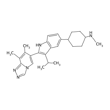 CNC1CCC(c2ccc3[nH]c(-c4cn5cnnc5c(C)c4C)c(C(C)C)c3c2)CC1